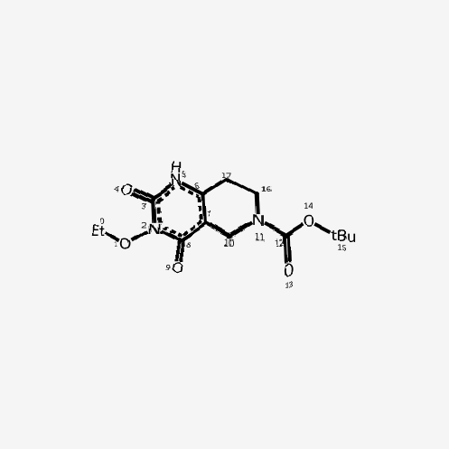 CCOn1c(=O)[nH]c2c(c1=O)CN(C(=O)OC(C)(C)C)CC2